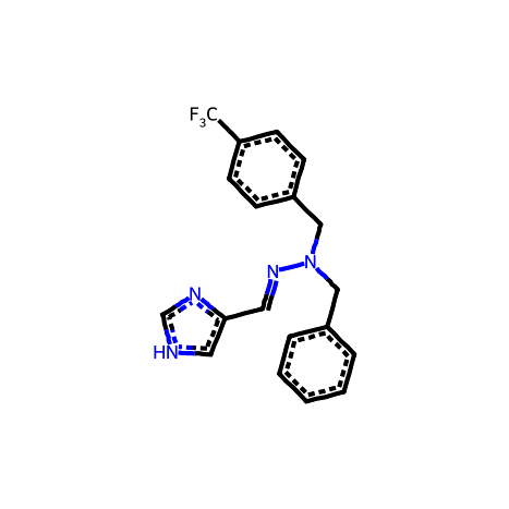 FC(F)(F)c1ccc(CN(Cc2ccccc2)N=Cc2c[nH]cn2)cc1